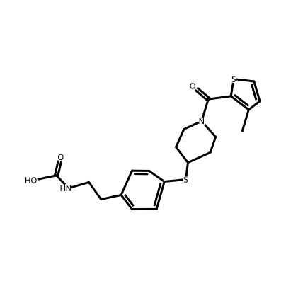 Cc1ccsc1C(=O)N1CCC(Sc2ccc(CCNC(=O)O)cc2)CC1